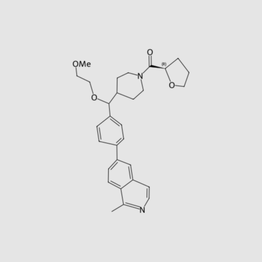 COCCOC(c1ccc(-c2ccc3c(C)nccc3c2)cc1)C1CCN(C(=O)[C@H]2CCCO2)CC1